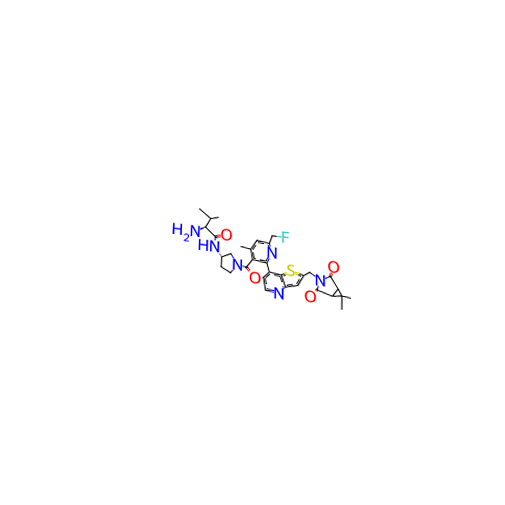 Cc1cc(CF)nc(-c2ccnc3cc(CN4C(=O)C5C(C4=O)C5(C)C)sc23)c1C(=O)N1CC[C@H](NC(=O)[C@@H](N)C(C)C)C1